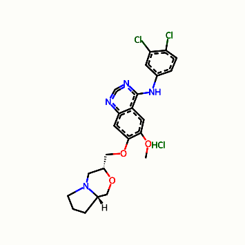 COc1cc2c(Nc3ccc(Cl)c(Cl)c3)ncnc2cc1OC[C@H]1CN2CCC[C@H]2CO1.Cl